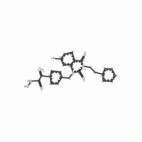 C=C(C(=O)NO)c1ccc(Cn2c(=O)n(CCc3ccccc3)c(=O)c3ccc(F)cc32)cc1